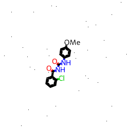 COc1ccc(NC(=O)NC(=O)c2ccccc2Cl)cc1